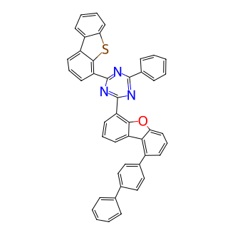 c1ccc(-c2ccc(-c3cccc4oc5c(-c6nc(-c7ccccc7)nc(-c7cccc8c7sc7ccccc78)n6)cccc5c34)cc2)cc1